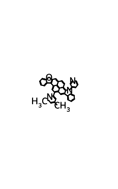 Cc1cc(C)nc(-c2cc3c4c(cc5ccc6c(c2cc2c7ccccc7n(-c7cccnc7)c26)c53)oc2ccccc24)c1